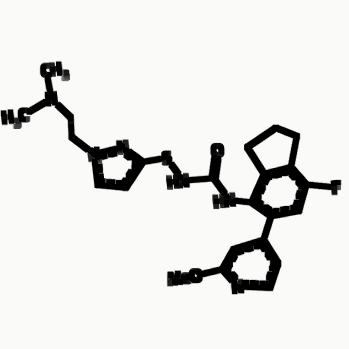 COc1cc(-c2cc(F)c3c(c2NC(=O)NSc2ccn(CCN(C)C)n2)CCC3)ccn1